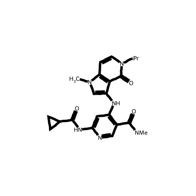 CNC(=O)c1cnc(NC(=O)C2CC2)cc1Nc1cn(C)c2ccn(C(C)C)c(=O)c12